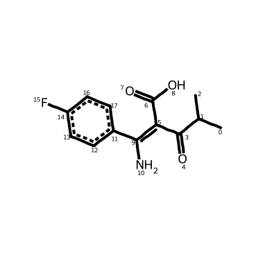 CC(C)C(=O)/C(C(=O)O)=C(\N)c1ccc(F)cc1